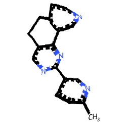 Cc1ccc(-c2ncc3c(n2)-c2cnccc2CC3)cn1